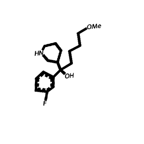 COCCCCC(O)(c1cccc(F)c1)C1CCCNC1